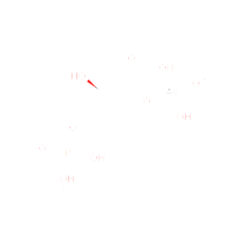 O=C(O[As](=O)(O)O)[C@H](O)COP(=O)(O)O